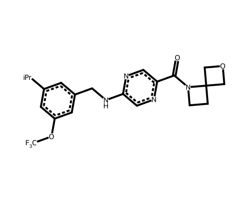 CC(C)c1cc(CNc2cnc(C(=O)N3CCC34COC4)cn2)cc(OC(F)(F)F)c1